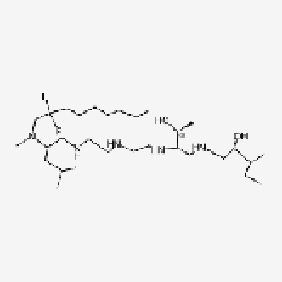 CCCCCCCC(F)(F)CN(C)C(CNCCNCCNC(CNCC(O)C(C)CC)[C@H](C)O)CC(C)C